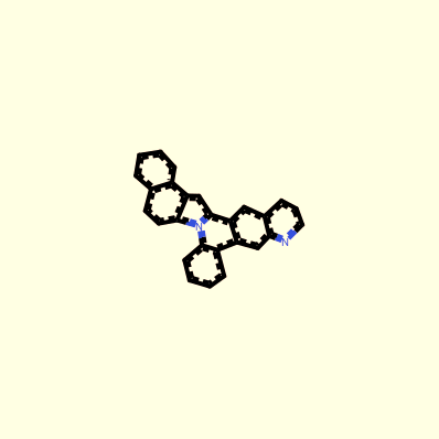 c1cnc2cc3c4ccccc4n4c5ccc6ccccc6c5cc4c3cc2c1